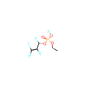 CCOP(=O)(OF)OC(F)C(F)C(F)F